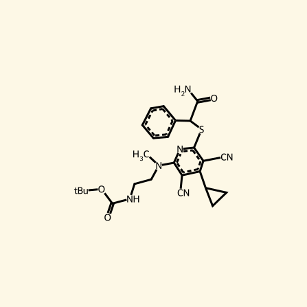 CN(CCNC(=O)OC(C)(C)C)c1nc(SC(C(N)=O)c2ccccc2)c(C#N)c(C2CC2)c1C#N